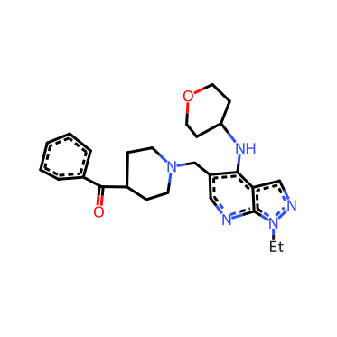 CCn1ncc2c(NC3CCOCC3)c(CN3CCC(C(=O)c4ccccc4)CC3)cnc21